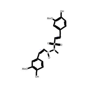 COc1cc(/C=C\[S+]([O-])N(C)S(=O)(=O)/C=C/c2ccc(O)c(OC)c2)ccc1O